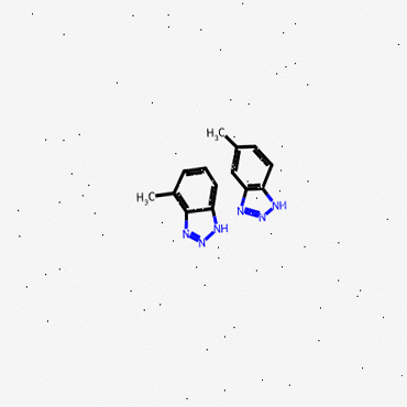 Cc1ccc2[nH]nnc2c1.Cc1cccc2[nH]nnc12